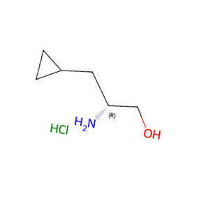 Cl.N[C@@H](CO)CC1CC1